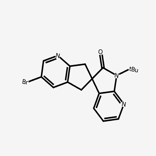 CC(C)(C)N1C(=O)C2(Cc3cc(Br)cnc3C2)c2cccnc21